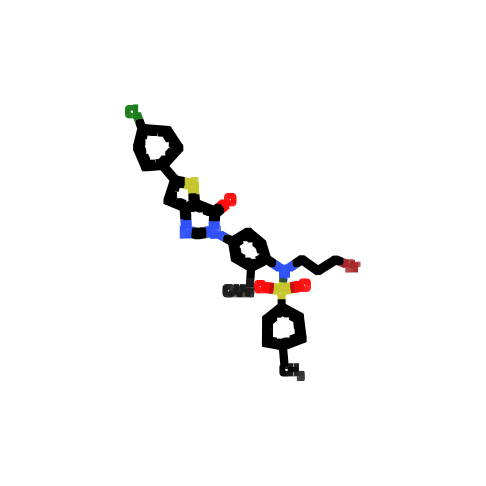 COc1cc(-n2cnc3cc(-c4ccc(Cl)cc4)sc3c2=O)ccc1N(CCCBr)S(=O)(=O)c1ccc(C)cc1